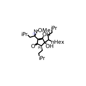 CCCCCCC(CCC(C)C)[C@@]1(O)C(O)=C(/C(CC(C)C)=N\OC)C(=O)[C@@H]1CCC(C)C